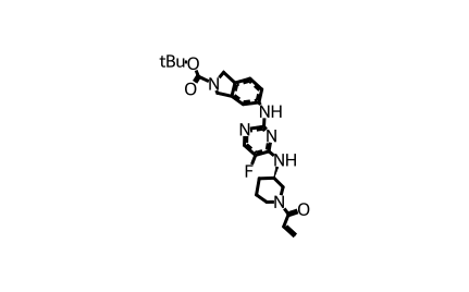 C=CC(=O)N1CCC[C@@H](Nc2nc(Nc3ccc4c(c3)CN(C(=O)OC(C)(C)C)C4)ncc2F)C1